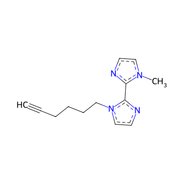 C#CCCCCn1ccnc1-c1nccn1C